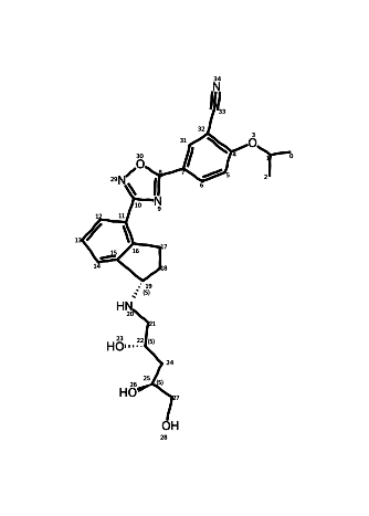 CC(C)Oc1ccc(-c2nc(-c3cccc4c3CC[C@@H]4NC[C@@H](O)C[C@H](O)CO)no2)cc1C#N